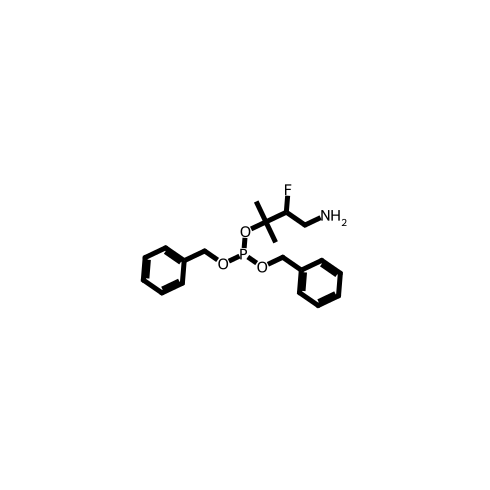 CC(C)(OP(OCc1ccccc1)OCc1ccccc1)C(F)CN